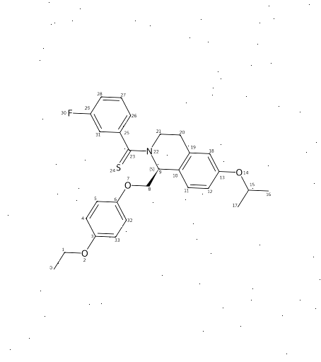 CCOc1ccc(OC[C@@H]2c3ccc(OC(C)C)cc3CCN2C(=S)c2cccc(F)c2)cc1